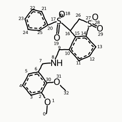 COc1cccc(CNCc2cccc3c2C(S(=O)(=O)c2ccccc2)CS3(=O)=O)c1OC